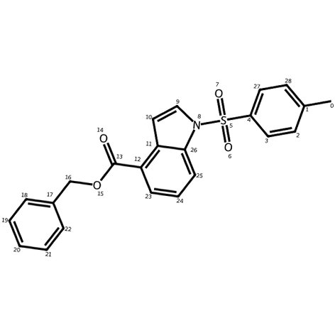 Cc1ccc(S(=O)(=O)n2ccc3c(C(=O)OCc4ccccc4)cccc32)cc1